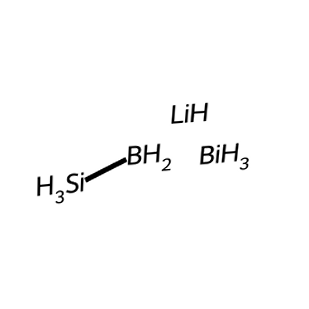 B[SiH3].[BiH3].[LiH]